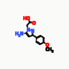 COc1ccc(-c2cc(N)n(CC(=O)O)n2)cc1